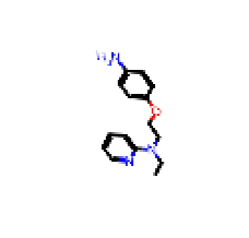 CCN(CCOc1ccc(N)cc1)c1ccccn1